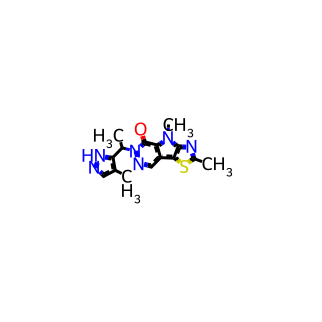 Cc1nc2c(s1)c1cnn(C(C)c3[nH]ncc3C)c(=O)c1n2C